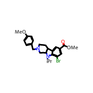 COC(=O)c1cc(Br)c2c(c1)C1CCN(Cc3ccc(OC)cc3)CC1N2C(C)C